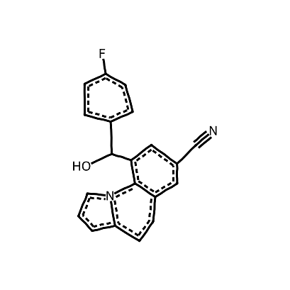 N#Cc1cc(C(O)c2ccc(F)cc2)c2c(ccc3cccn32)c1